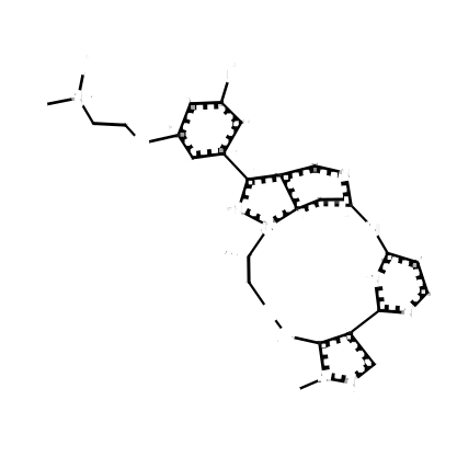 C[C@H]1CCOc2c(cnn2C)-c2nccc(n2)Nc2cc3c(cn2)c(-c2cc(F)cc(OCCN(C)C)c2)nn31